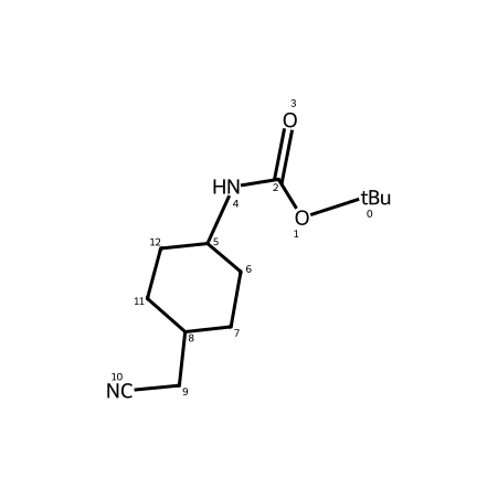 CC(C)(C)OC(=O)NC1CCC(CC#N)CC1